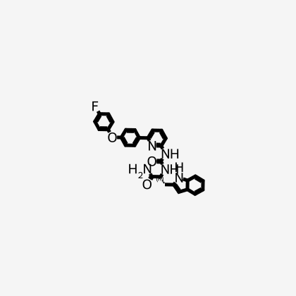 NC(=O)[C@@H](CC1=CC2C=CC=CC2N1)NC(=O)Nc1cccc(-c2ccc(Oc3ccc(F)cc3)cc2)n1